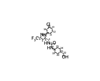 O=C(NCc1cc(C(F)(F)F)nn1-c1cccc(Cl)c1)Nc1ccc(CO)cc1